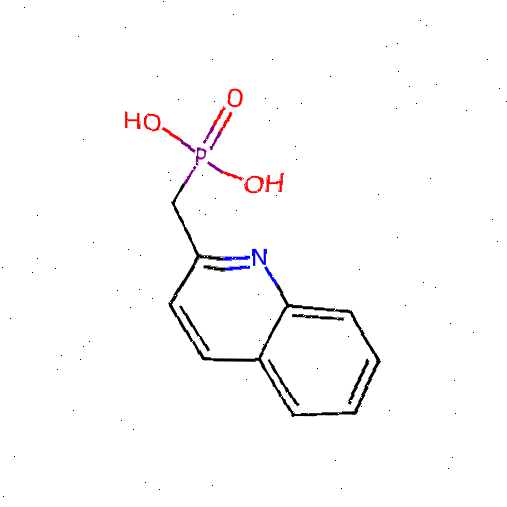 O=P(O)(O)Cc1ccc2ccccc2n1